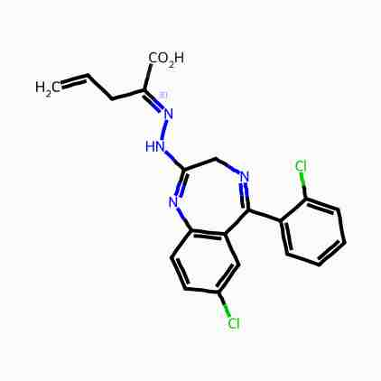 C=CC/C(=N\NC1=Nc2ccc(Cl)cc2C(c2ccccc2Cl)=NC1)C(=O)O